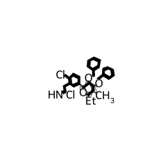 CC[C@H]1O[C@@H](c2ccc(Cl)c(CC(=N)Cl)c2)[C@H](OCc2ccccc2)[C@@H](OCc2ccccc2)[C@@H]1C